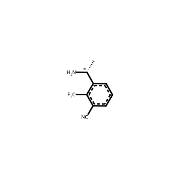 C[C@@H](N)c1cccc(C#N)c1C(F)(F)F